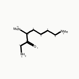 BCC(=O)C(CCCCNC)NC